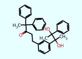 CC(C(=O)CCc1cccc(C(C)(O)C(C)(O)c2ccccc2)c1)(c1ccccc1)c1ccccc1